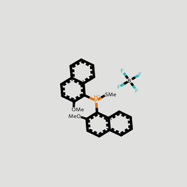 COc1ccc2ccccc2c1[PH+](SC)c1c(OC)ccc2ccccc12.F[B-](F)(F)F